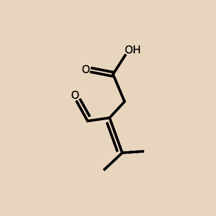 CC(C)=C(C=O)CC(=O)O